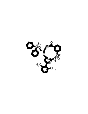 Cc1cccc(C)c1-c1cc2nc(n1)NS(=O)(=O)c1cccc(c1)C(=O)NC[C@H](CO[Si](c1ccccc1)(c1ccccc1)C(C)(C)C)O2